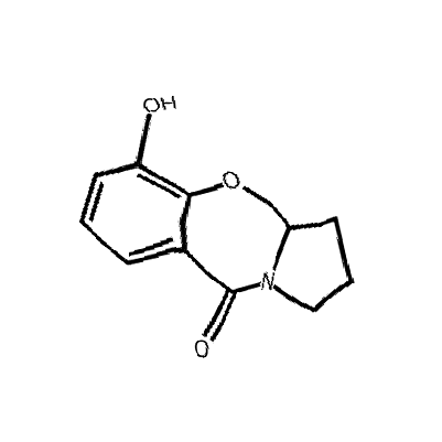 O=C1c2cccc(O)c2OC2CCCN12